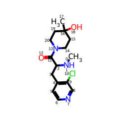 CNC(Cc1ccncc1Cl)C(=O)N1CCC(C)(O)CC1